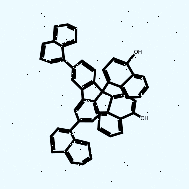 Oc1ccc(C2(c3ccc(O)c4ccccc34)c3ccc(-c4cccc5ccccc45)cc3-c3cc(-c4cccc5ccccc45)ccc32)c2ccccc12